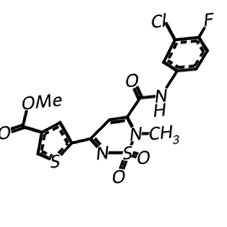 COC(=O)c1csc(C2=NS(=O)(=O)N(C)C(C(=O)Nc3ccc(F)c(Cl)c3)=C2)c1